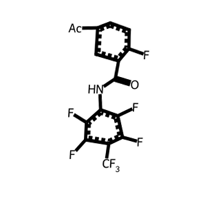 CC(=O)c1ccc(F)c(C(=O)Nc2c(F)c(F)c(C(F)(F)F)c(F)c2F)c1